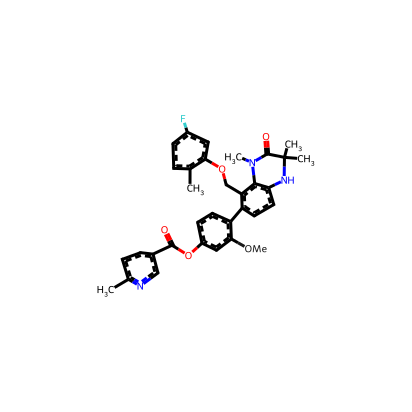 COc1cc(OC(=O)c2ccc(C)nc2)ccc1-c1ccc2c(c1COc1cc(F)ccc1C)N(C)C(=O)C(C)(C)N2